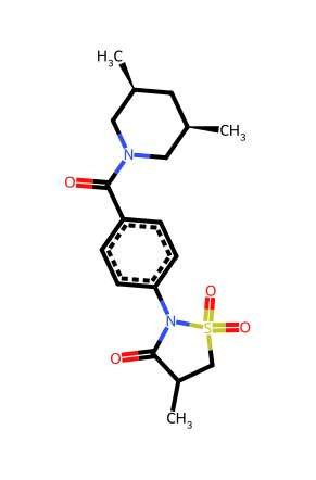 CC1CS(=O)(=O)N(c2ccc(C(=O)N3C[C@H](C)C[C@H](C)C3)cc2)C1=O